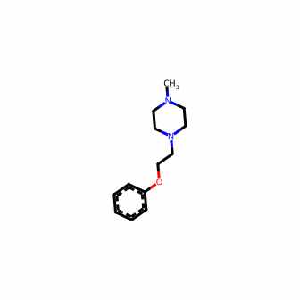 CN1CCN(CCOc2[c]cccc2)CC1